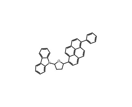 c1ccc(-c2ccc3ccc4c(C5CCC(n6c7ccccc7c7ccccc76)O5)ccc5ccc2c3c54)cc1